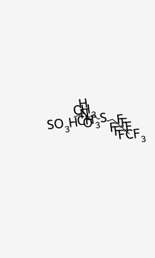 CC(C)(CS(=O)(=O)O)NC(=O)CCSCCC(F)(F)C(F)(F)C(F)(F)C(F)(F)F